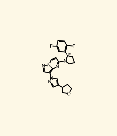 Fc1ccc(F)c([C@H]2CCCN2c2ccn3ncc(-n4cc(C5CCOC5)cn4)c3n2)c1